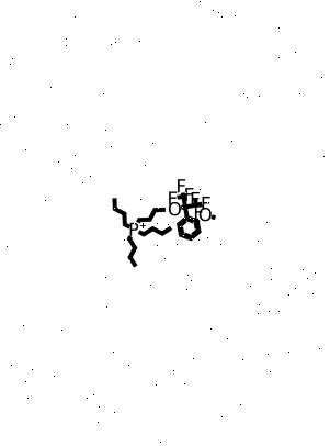 CCCC[P+](CCCC)(CCCC)CCCC.COc1ccccc1C([O-])(C(F)(F)F)C(F)(F)F